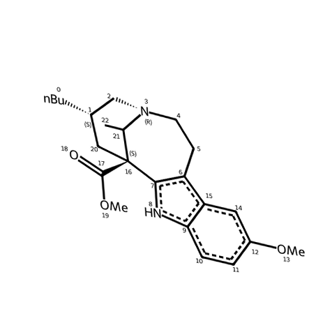 CCCC[C@@H]1C[N@]2CCc3c([nH]c4ccc(OC)cc34)[C@](C(=O)OC)(C1)C2C